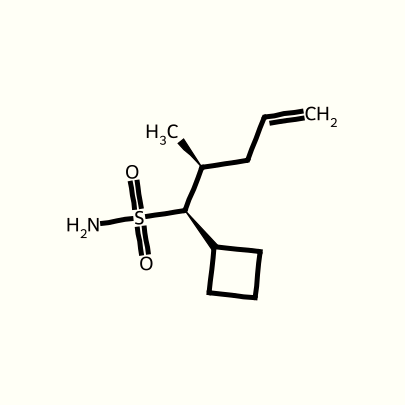 C=CC[C@H](C)[C@@H](C1CCC1)S(N)(=O)=O